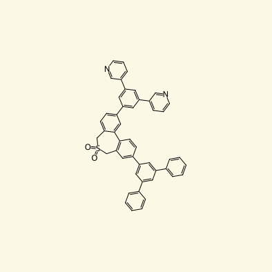 O=S1(=O)Cc2cc(-c3cc(-c4ccccc4)cc(-c4ccccc4)c3)ccc2-c2cc(-c3cc(-c4cccnc4)cc(-c4cccnc4)c3)ccc2C1